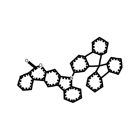 O=c1oc2cc3c(cc2c2ccccc12)c1ccccc1n3-c1ccc2c(c1)C1(c3ccccc3-c3ccccc31)c1ccccc1-2